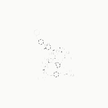 C[C@@H]1NC(=O)C(N(C)C(=O)[C@H](CNS(N)(=O)=O)NC(=O)c2cnn(-c3ccc(OC4CCCCC4)cc3)c(=O)c2)c2cc(OC[C@H](O)CN)c(O)c(c2)-c2cc(ccc2OC[C@H](O)CN)CC(C(=O)O)NC1=O